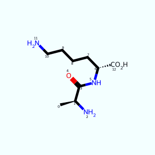 C[C@H](N)C(=O)N[C@H](CCCCN)C(=O)O